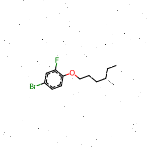 CC[C@H](C)CCCOc1ccc(Br)cc1F